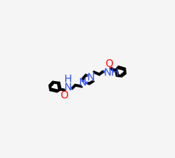 O=C(NCCCN1CCN(CCCNC(=O)c2ccccc2)CC1)c1ccccc1